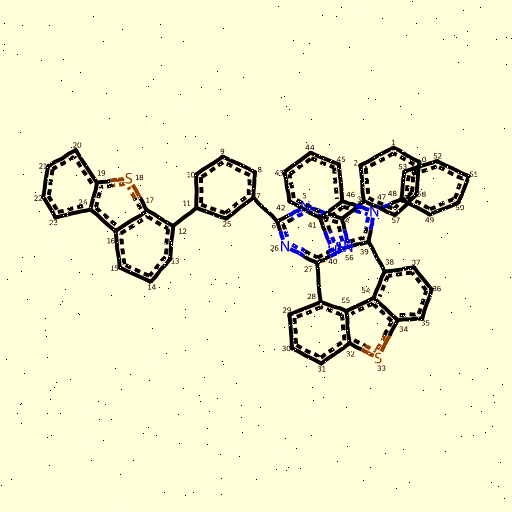 c1ccc(-c2nc(-c3cccc(-c4cccc5c4sc4ccccc45)c3)nc(-c3cccc4sc5cccc(-c6nc7ccccc7n6-c6ccccc6)c5c34)n2)cc1